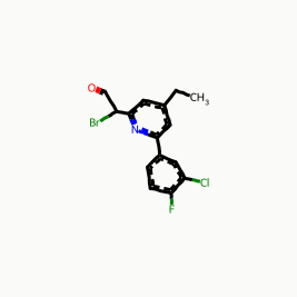 CCc1cc(-c2ccc(F)c(Cl)c2)nc(C(Br)C=O)c1